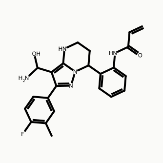 C=CC(=O)Nc1ccccc1C1CCNc2c(C(N)O)c(-c3ccc(F)c(C)c3)nn21